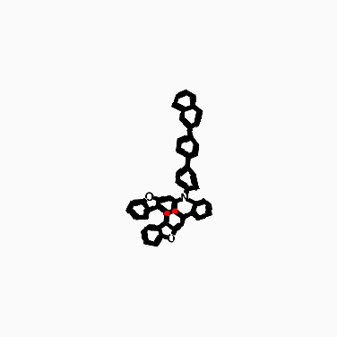 c1ccc(N(c2ccc(-c3ccc(-c4ccc5ccccc5c4)cc3)cc2)c2ccc3c(c2)oc2ccccc23)c(-c2ccc3c(c2)oc2ccccc23)c1